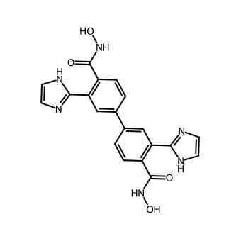 O=C(NO)c1ccc(-c2ccc(C(=O)NO)c(-c3ncc[nH]3)c2)cc1-c1ncc[nH]1